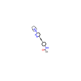 CCC(=O)Nc1ccc(C#Cc2ccc(N3CC4CCC(C3)N4C)nn2)cc1